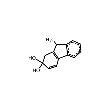 CC1C2=C(C=CC(O)(O)C2)c2ccccc21